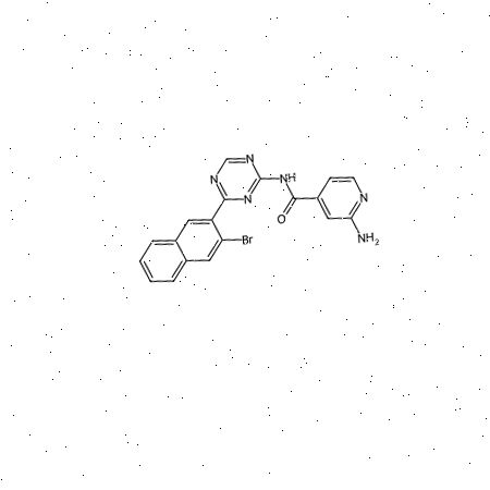 Nc1cc(C(=O)Nc2ncnc(-c3cc4ccccc4cc3Br)n2)ccn1